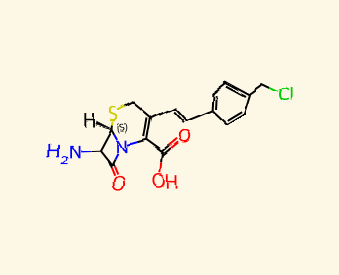 NC1C(=O)N2C(C(=O)O)=C(C=Cc3ccc(CCl)cc3)CS[C@@H]12